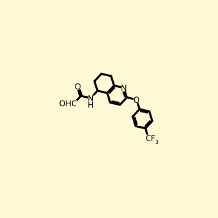 O=CC(=O)NC1CCCc2nc(Oc3ccc(C(F)(F)F)cc3)ccc21